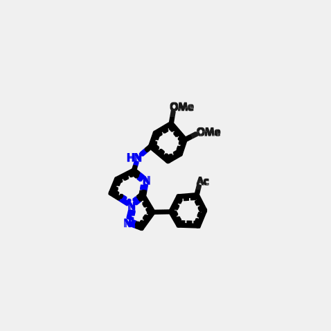 COc1ccc(Nc2ccn3ncc(-c4cccc(C(C)=O)c4)c3n2)cc1OC